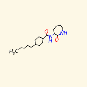 CCCCCC1CCC(C(=O)N[C@H]2CCCCNC2=O)CC1